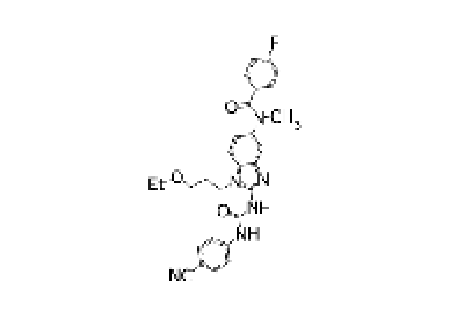 CCOCCCn1c(NC(=O)Nc2ccc(C#N)cc2)nc2cc(N(C)C(=O)c3ccc(F)cc3)ccc21